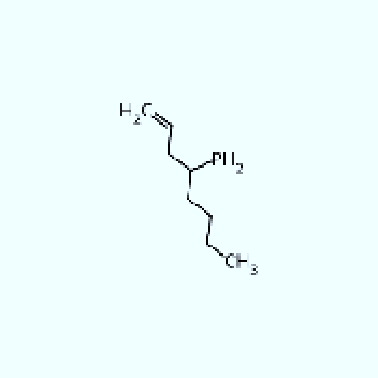 C=CCC(P)CCCC